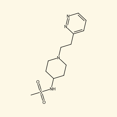 CS(=O)(=O)NC1CCN(CCc2cccnn2)CC1